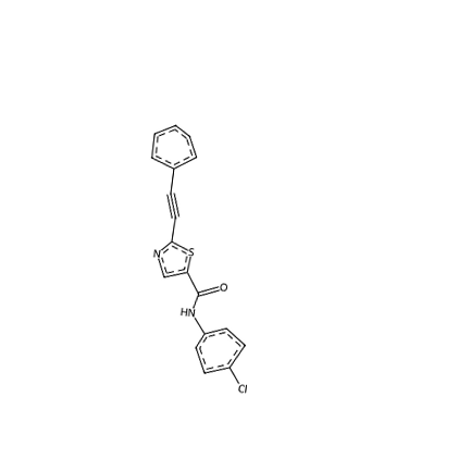 O=C(Nc1ccc(Cl)cc1)c1cnc(C#Cc2ccccc2)s1